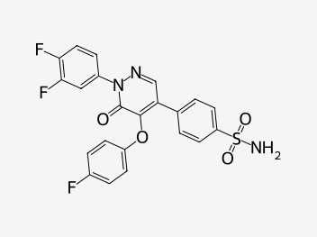 NS(=O)(=O)c1ccc(-c2cnn(-c3ccc(F)c(F)c3)c(=O)c2Oc2ccc(F)cc2)cc1